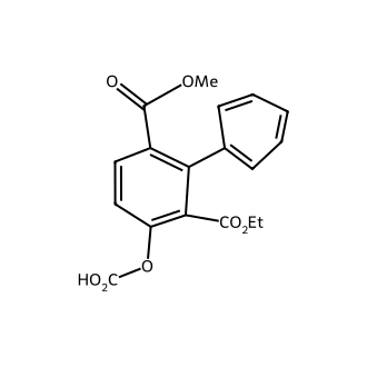 CCOC(=O)c1c(OC(=O)O)ccc(C(=O)OC)c1-c1ccccc1